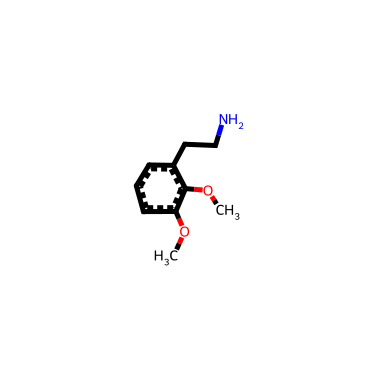 COc1cccc(CCN)c1OC